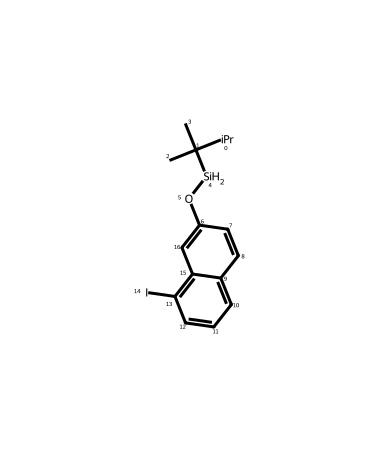 CC(C)C(C)(C)[SiH2]Oc1ccc2cccc(I)c2c1